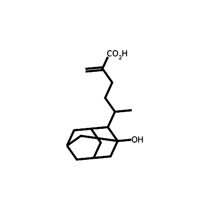 C=C(CCC(C)C1C2CC3CC(C2)CC1(O)C3)C(=O)O